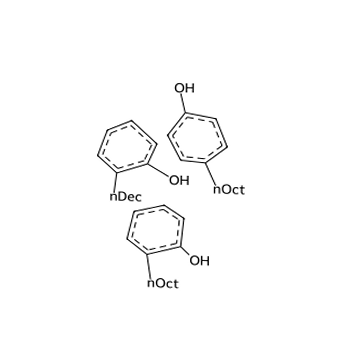 CCCCCCCCCCc1ccccc1O.CCCCCCCCc1ccc(O)cc1.CCCCCCCCc1ccccc1O